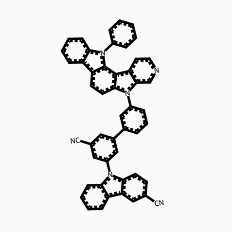 N#Cc1cc(-c2cccc(-n3c4cnccc4c4c3ccc3c5ccccc5n(-c5ccccc5)c34)c2)cc(-n2c3ccccc3c3cc(C#N)ccc32)c1